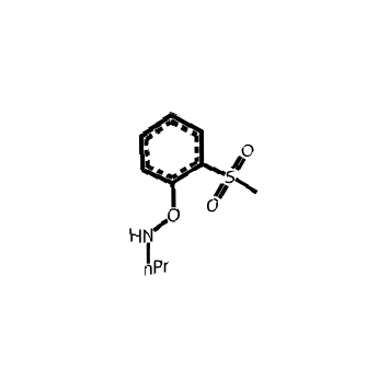 CCCNOc1ccccc1S(C)(=O)=O